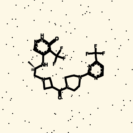 C[C@@H](CN1CC(C(=O)N2CCN(c3nccc(C(F)(F)F)n3)CC2)C1)Nc1cn[nH]c(=O)c1C(F)(F)F